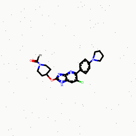 CC(C)C(=O)N1CCC(Oc2nc3nc(-c4ccc(N5CCCC5)cc4)c(Cl)cc3[nH]2)CC1